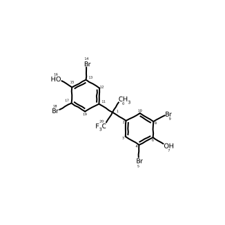 CC(c1cc(Br)c(O)c(Br)c1)(c1cc(Br)c(O)c(Br)c1)C(F)(F)F